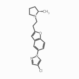 C[C@@H]1CCCN1CCc1cc2cc(-n3cc(Cl)cn3)ccc2o1